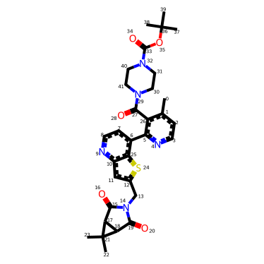 Cc1ccnc(-c2ccnc3cc(CN4C(=O)C5C(C4=O)C5(C)C)sc23)c1C(=O)N1CCN(C(=O)OC(C)(C)C)CC1